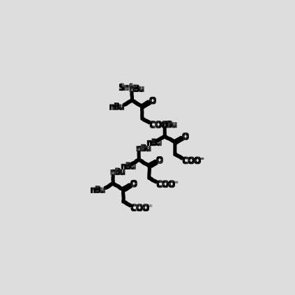 CCCCC(CCCC)C(=O)CC(=O)[O-].CCCCC(CCCC)C(=O)CC(=O)[O-].CCCCC(CCCC)C(=O)CC(=O)[O-].CCCCC(CCCC)C(=O)CC(=O)[O-].[Sn+4]